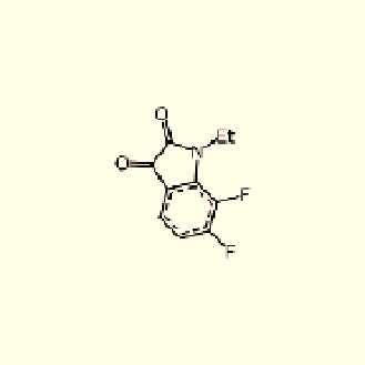 CCN1C(=O)C(=O)c2ccc(F)c(F)c21